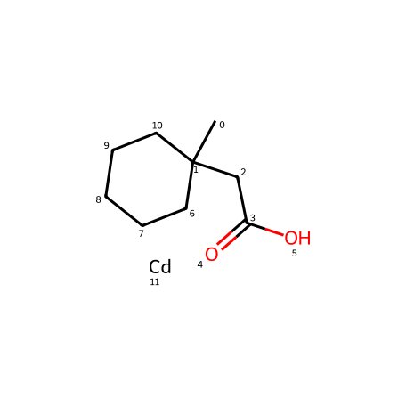 CC1(CC(=O)O)CCCCC1.[Cd]